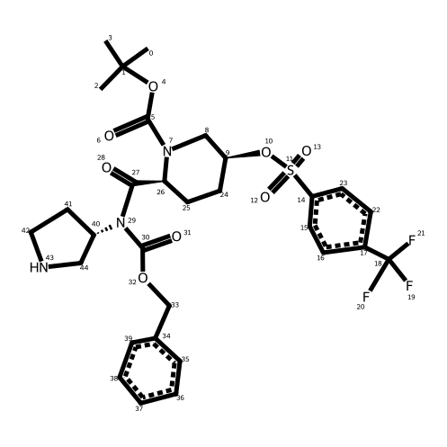 CC(C)(C)OC(=O)N1C[C@@H](OS(=O)(=O)c2ccc(C(F)(F)F)cc2)CC[C@H]1C(=O)N(C(=O)OCc1ccccc1)[C@H]1CCNC1